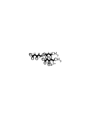 CC(=O)CC(=O)[O-].CCCC(=O)CC(=O)[O-].CCCC(=O)CC(=O)[O-].[Ga+3]